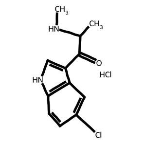 CNC(C)C(=O)c1c[nH]c2ccc(Cl)cc12.Cl